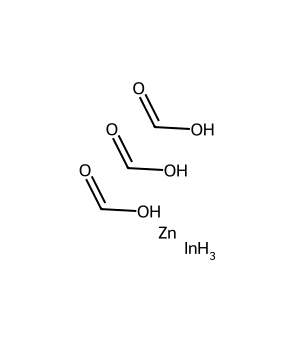 O=CO.O=CO.O=CO.[InH3].[Zn]